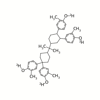 [2H]Oc1ccc(C2CCC(C(C)(C)C3CCC(c4ccc(O[2H])c(C)c4)(c4ccc(O[2H])c(C)c4)CC3)CC2c2ccc(O[2H])c(C)c2)cc1C